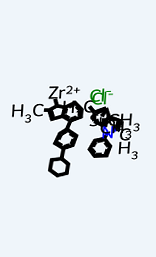 CC1=C2c3cc(C)n(-c4ccccc4)c3C1[Si]2(C)C.CC1=Cc2c(-c3ccc(C4CCCCC4)cc3)cccc2[CH]1[Zr+2].[Cl-].[Cl-]